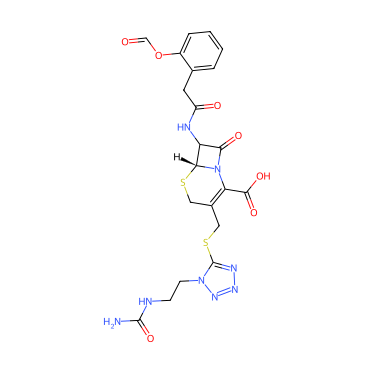 NC(=O)NCCn1nnnc1SCC1=C(C(=O)O)N2C(=O)C(NC(=O)Cc3ccccc3OC=O)[C@H]2SC1